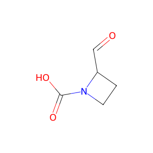 O=CC1CCN1C(=O)O